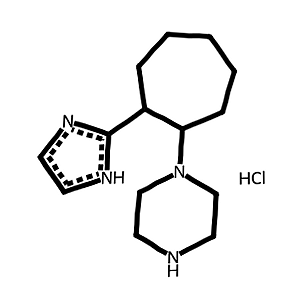 Cl.c1c[nH]c(C2CCCCCC2N2CCNCC2)n1